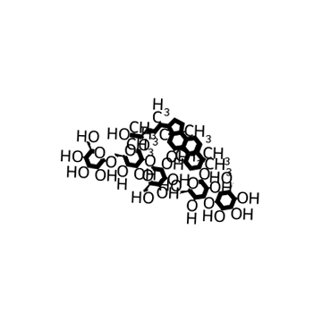 C[C@H](CC[C@@H](O[C@@H]1O[C@H](CO[C@@H]2O[C@H](CO)[C@@H](O)[C@H](O)[C@H]2O)[C@@H](O)[C@H](O)[C@H]1O[C@@H]1O[C@H](CO)[C@@H](O)[C@H](O)[C@H]1O)C(C)(C)O)C1CC[C@@]2(C)C3CC=C4C(CC[C@H](O[C@@H]5O[C@H](CO)[C@@H](O)[C@H](O[C@@H]6C[C@H](CO)[C@@H](O)[C@H](O)[C@H]6O)[C@H]5O)C4(C)C)[C@]3(C)[C@H](O)C[C@]12C